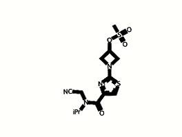 CC(C)N(CC#N)C(=O)c1csc(N2CC(OS(C)(=O)=O)C2)n1